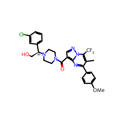 COc1ccc(-c2nc3c(C(=O)N4CCN([C@@H](CO)c5cccc(Cl)c5)CC4)cnn3c(C(F)(F)F)c2C)cc1